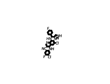 N#Cc1cnc2c(NC(c3ccc(F)cc3)c3c[nH]nn3)cc(Cl)cc2c1Nc1ccc(F)c(Cl)c1